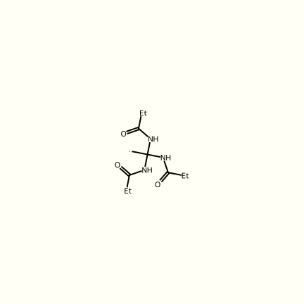 [CH2]C(NC(=O)CC)(NC(=O)CC)NC(=O)CC